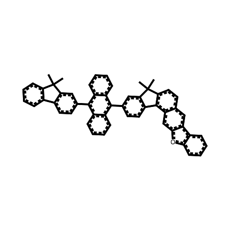 CC1(C)c2ccccc2-c2ccc(-c3c4ccccc4c(-c4ccc5c(c4)C(C)(C)c4ccc6cc7c(cc6c4-5)oc4ccccc47)c4ccccc34)cc21